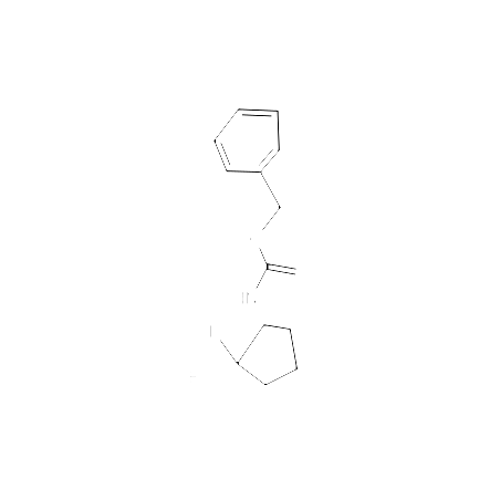 C[C@@]1(F)CCC[C@H]1NC(=O)OCc1ccccc1